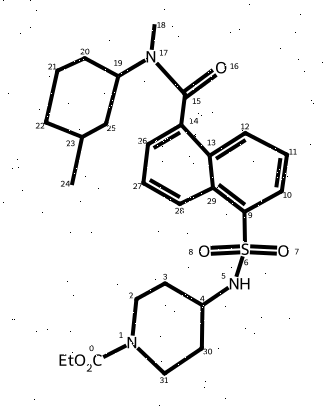 CCOC(=O)N1CCC(NS(=O)(=O)c2cccc3c(C(=O)N(C)C4CCCC(C)C4)cccc23)CC1